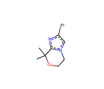 CC(C)c1cn2c(n1)C(C)(C)OCC2